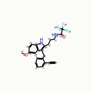 C#Cc1ccccc1Cc1c(CCCNC(=O)C(F)(F)F)[nH]c2ccc(OC)cc12